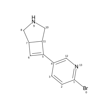 Brc1ccc(C2=CC3CNCC23)cn1